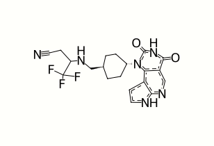 N#CCC(NC[C@H]1CC[C@H](n2c(=O)[nH]c(=O)c3cnc4[nH]ccc4c32)CC1)C(F)(F)F